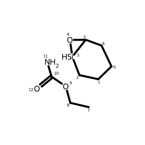 C1CC[SiH]2OC2C1.CCOC(N)=O